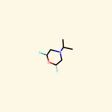 CC(C)N1C[C@H](F)O[C@@H](F)C1